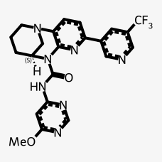 COc1cc(NC(=O)N2c3nc(-c4cncc(C(F)(F)F)c4)ccc3N3CCC[C@H]2C3)ncn1